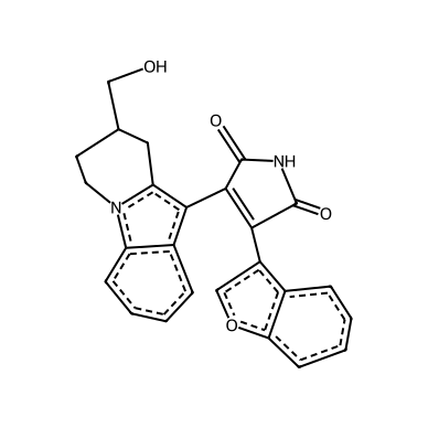 O=C1NC(=O)C(c2c3n(c4ccccc24)CCC(CO)C3)=C1c1coc2ccccc12